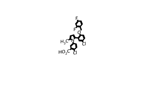 Cc1ccc(-c2cc(Cl)ccc2OCc2ccc(F)cc2F)n1-c1ccc(Cl)c(C(=O)O)c1